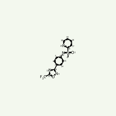 CS(=O)(=Nc1ccc(-c2noc(C(F)(F)F)n2)cc1)c1ccccn1